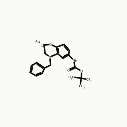 CC(=O)[C@H]1CN(Cc2ccccc2)c2cc(NC(=O)OC(C)(C)C(F)(F)F)ccc2O1